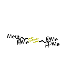 CO[SiH](CCCSSSSCCC[SiH](OC)OC)OC